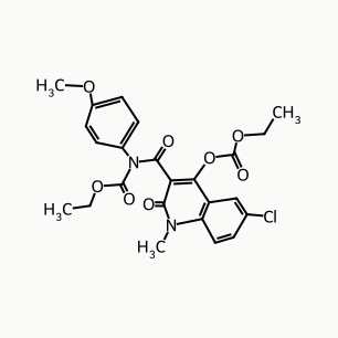 CCOC(=O)Oc1c(C(=O)N(C(=O)OCC)c2ccc(OC)cc2)c(=O)n(C)c2ccc(Cl)cc12